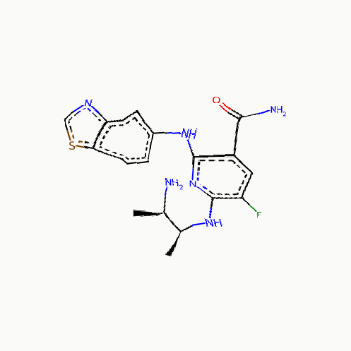 C[C@H](Nc1nc(Nc2ccc3scnc3c2)c(C(N)=O)cc1F)[C@@H](C)N